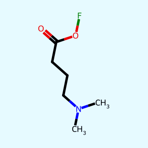 CN(C)CCCC(=O)OF